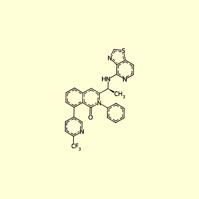 C[C@H](Nc1nccc2scnc12)c1cc2cccc(-c3ccc(C(F)(F)F)nc3)c2c(=O)n1-c1ccccc1